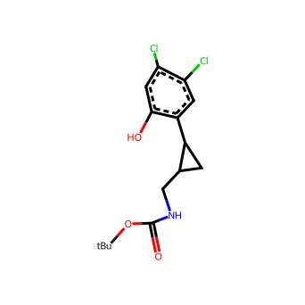 CC(C)(C)OC(=O)NCC1CC1c1cc(Cl)c(Cl)cc1O